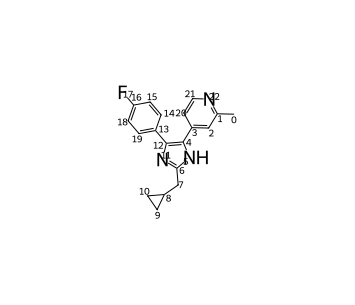 Cc1cc(-c2[nH]c(CC3CC3)nc2-c2ccc(F)cc2)ccn1